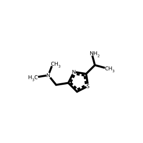 CC(N)c1nc(CN(C)C)cs1